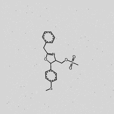 CSc1ccc(C2OC(Cc3ccccc3)=NC2COS(C)(=O)=O)cc1